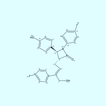 O=C1[C@H](C/C=C(/CO)c2ccc(F)cc2)[C@@H](c2ccc(O)cc2)N1c1ccc(F)cc1